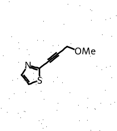 COCC#Cc1nccs1